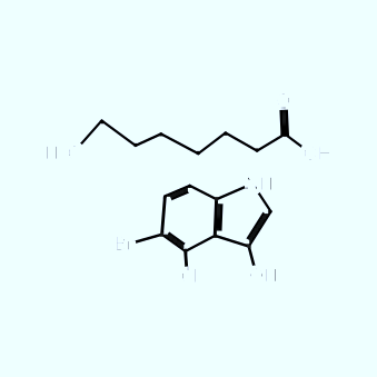 CCCCCCCC(=O)O.Oc1c[nH]c2ccc(Br)c(Cl)c12